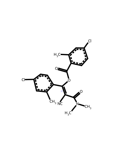 Cc1cc(Cl)ccc1C(=O)O/C(=C(/C#N)C(=O)N(C)C)c1ccc(Cl)cc1C